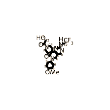 COc1ccc(N2Cc3cnc(NCC(F)(F)F)nc3C3(CCN(C(=O)CO)CC3)C2=O)cc1